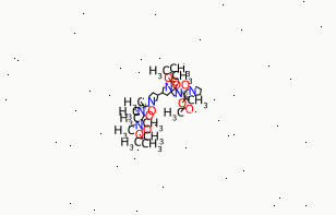 CCN(C(=O)OC(C)(C)C)C(C)(C)C(=O)N(C)[C@@H](C)C(=O)N1CCC(C2CN(C(=O)OC(C)(C)C)C3(C2)CN([C@H](C(=O)N2CCCC2)[C@@H](C)OC(C)=O)C3=O)C1